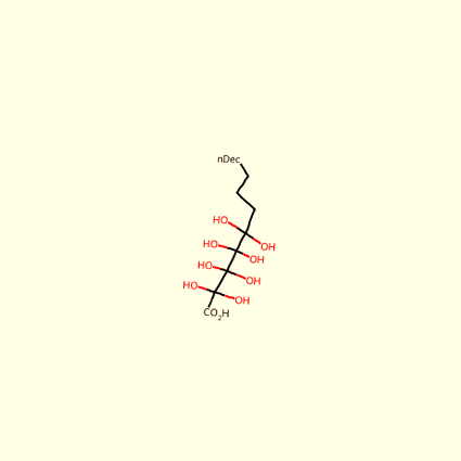 CCCCCCCCCCCCCC(O)(O)C(O)(O)C(O)(O)C(O)(O)C(=O)O